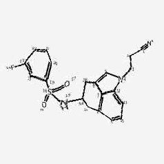 N#CCCn1cc2c3c(cccc31)CC(NS(=O)(=O)c1cccc(F)c1)C2